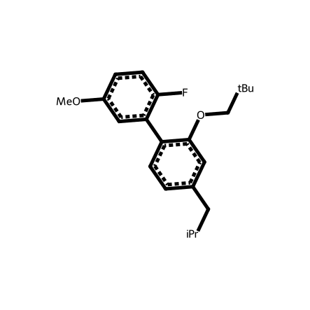 COc1ccc(F)c(-c2ccc(CC(C)C)cc2OCC(C)(C)C)c1